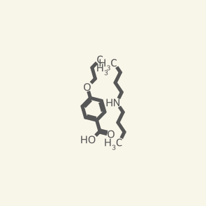 CCCCNCCCC.CCCOc1ccc(C(=O)O)cc1